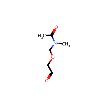 CC(=O)N(C)COCC=O